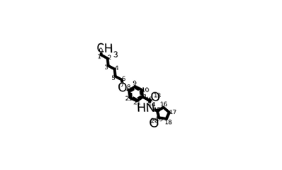 CCCCCCCOc1ccc(C(=O)NC2CCCC2=O)cc1